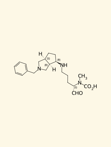 CN(C(=O)O)[C@H](C=O)CCCN[C@@H]1CC[C@@H]2CN(Cc3ccccc3)C[C@@H]21